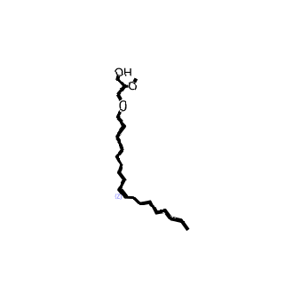 CCCCCCCC/C=C\CCCCCCCCOCC(CO)OC